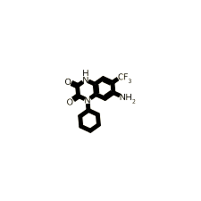 Nc1cc2c(cc1C(F)(F)F)[nH]c(=O)c(=O)n2C1CCCCC1